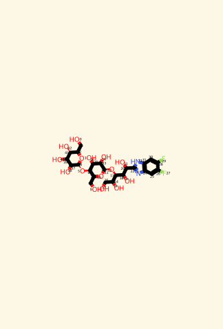 OCC1O[C@H](O[C@@H]2C(CO)O[C@H](O[C@H](C(O)CO)C(O)C(O)c3nc4cc(F)c(F)cc4[nH]3)C(O)C2O)C(O)C(O)[C@@H]1O